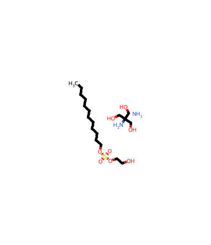 CCCCCCCCCCCCOS(=O)(=O)OCCO.N.NC(CO)(CO)CO